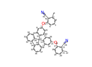 Cc1cccc(Oc2ccc(C3(c4ccc(Oc5cccc(C)c5C#N)cc4)c4ccccc4-c4ccccc43)cc2)c1C#N